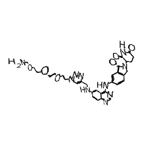 NCOCCOCCOCCn1cc(CNc2ccc3ncnc(Nc4ccc5c(c4)C(=O)N(C4CCC(=O)NC4=O)C5)c3c2)nn1